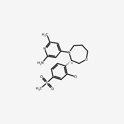 Cc1cc(N2CCCOC[C@@H]2c2ccc(S(C)(=O)=O)cc2Cl)cc(N)n1